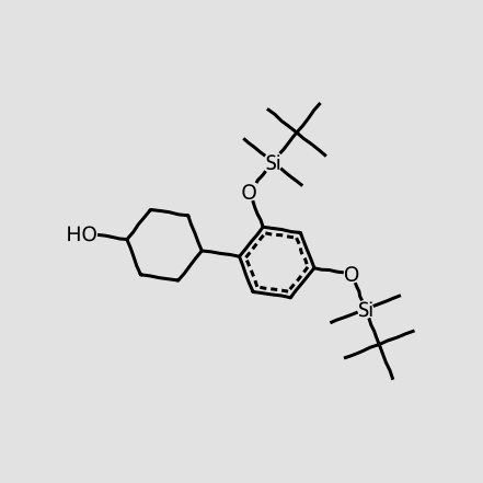 CC(C)(C)[Si](C)(C)Oc1ccc(C2CCC(O)CC2)c(O[Si](C)(C)C(C)(C)C)c1